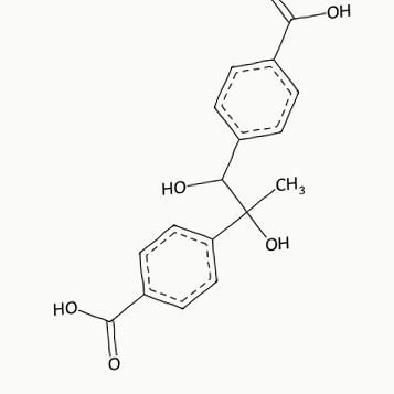 CC(O)(c1ccc(C(=O)O)cc1)C(O)c1ccc(C(=O)O)cc1